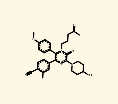 COc1ccc(-c2c(-c3ccc(C#N)c(F)c3)nc(N3CCC(N)CC3)c(=O)n2CCCC(=O)I)cc1